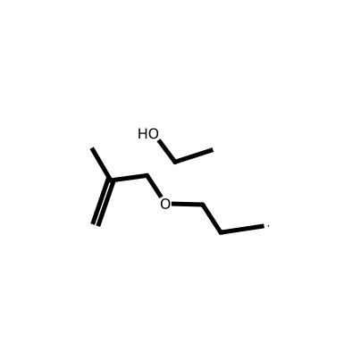 CCO.[CH2]CCOCC(=C)C